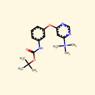 CC(C)(C)OC(=O)Nc1cccc(Oc2cc([N+](C)(C)C)ncn2)c1